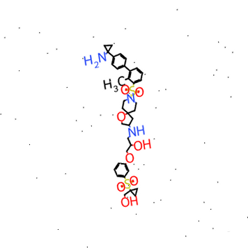 Cc1c(-c2ccc(C3(N)CC3)cc2)cccc1S(=O)(=O)N1CCC2(CC1)C[C@@H](NCC(O)COc1cccc(S(=O)(=O)C3(CO)CC3)c1)CO2